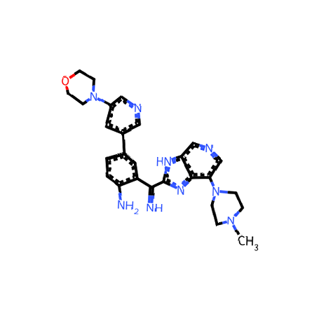 CN1CCN(c2cncc3[nH]c(C(=N)c4cc(-c5cncc(N6CCOCC6)c5)ccc4N)nc23)CC1